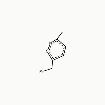 Cc1ccc(CC(C)C)nn1